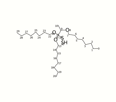 CCCCCCCCOC(C)C(OCCCCCCCC)(OCCCCCCCC)SS